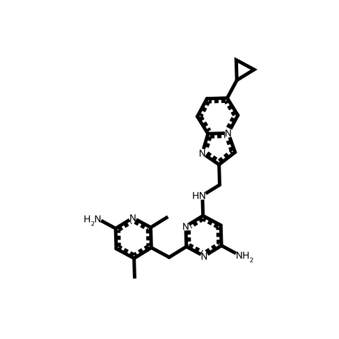 Cc1cc(N)nc(C)c1Cc1nc(N)cc(NCc2cn3cc(C4CC4)ccc3n2)n1